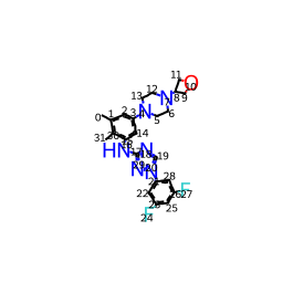 Cc1cc(N2CCN(C3COC3)CC2)cc(Nc2ncn(-c3cc(F)cc(F)c3)n2)c1C